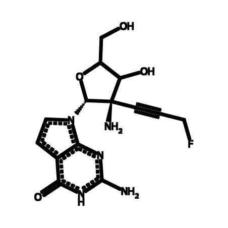 Nc1nc2c(ccn2[C@@H]2OC(CO)C(O)[C@]2(N)C#CCF)c(=O)[nH]1